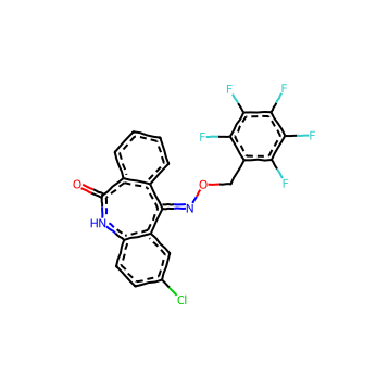 O=c1[nH]c2ccc(Cl)cc2/c(=N/OCc2c(F)c(F)c(F)c(F)c2F)c2ccccc12